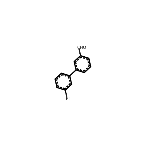 CCc1cccc(-c2cccc(C=O)c2)c1